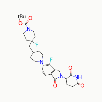 CC(C)(C)OC(=O)N1CCC(F)(CC2CCN(c3ccc4c(c3F)CN(C3CCC(=O)NC3=O)C4=O)CC2)CC1